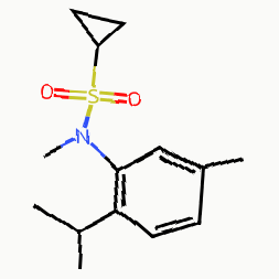 Cc1ccc(C(C)C)c(N(C)S(=O)(=O)C2CC2)c1